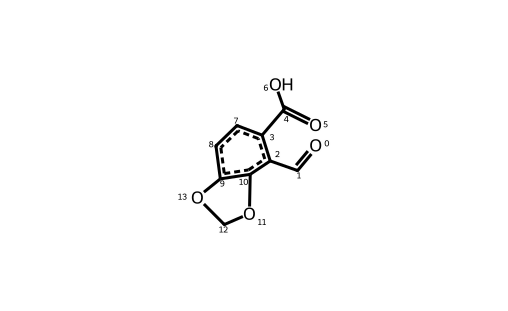 O=Cc1c(C(=O)O)ccc2c1OCO2